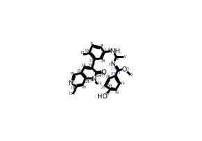 CO/C(=N\C(C)Nc1ccc(C)c(-c2cc3cnc(C)cc3n(C)c2=O)c1)c1ccc(O)cc1